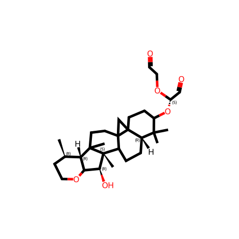 C[C@@H]1CCOC2[C@H]1C1(C)CCC34CC35CCC(O[C@@H](C=O)OCC=O)C(C)(C)[C@@H]5CCC4[C@]1(C)[C@H]2O